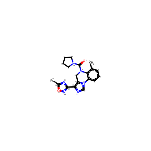 Cc1cccc2c1N(C(=O)N1CCCC1)Cc1c(-c3noc(C(C)C)n3)ncn1-2